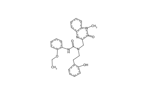 CCOc1ccccc1NC(=O)N(CCc1ccccc1O)Cc1nc2ccccc2n(C)c1=O